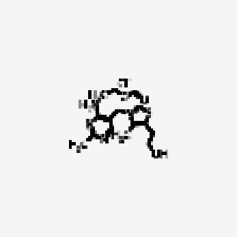 CCOC=O.Cc1ncc(C[n+]2csc(CCO)c2C)c(N)n1.[Cl-]